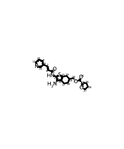 Nc1c(NC(=O)/C=C/c2cccnc2)sc2c1CCC(COC(=O)N1CCCO1)C2